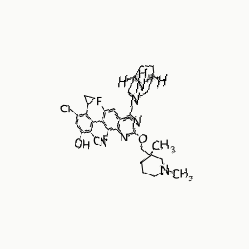 CN1CCCC(C)(COc2nc(N3C[C@H]4CC[C@@H](C3)N4)c3cc(F)c(-c4c(C#N)c(O)cc(Cl)c4C4CC4)c(F)c3n2)C1